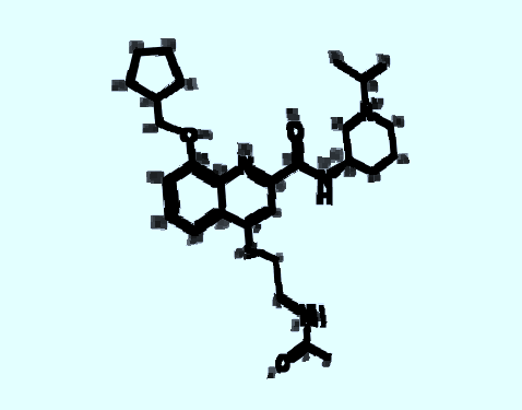 CC(=O)NCCSc1cc(C(=O)N[C@@H]2CCCN(C(C)C)C2)nc2c(OCC3CCCC3)cccc12